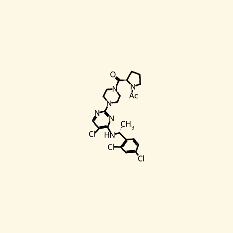 CC(=O)N1CCC[C@@H]1C(=O)N1CCN(c2ncc(Cl)c(N[C@H](C)c3ccc(Cl)cc3Cl)n2)CC1